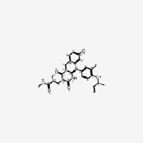 CC[C@H](C)Oc1ccc(/N=c2\[nH]c(=O)n(C[C@H](C)C(=O)OC)c(=O)n2Cc2ccc(Cl)cc2)cc1C